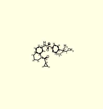 CCC(C)(C)c1ccc(S(=O)(=O)Nc2ccc3c(c2)N(C(=O)C2CC2)CCC3)cc1